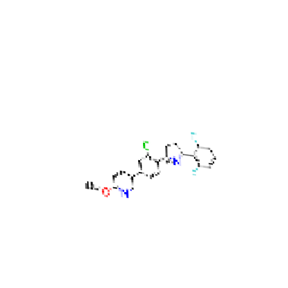 CCC(C)Oc1ccc(-c2ccc([C@H]3CCC(c4c(F)cccc4F)=N3)c(Cl)c2)cn1